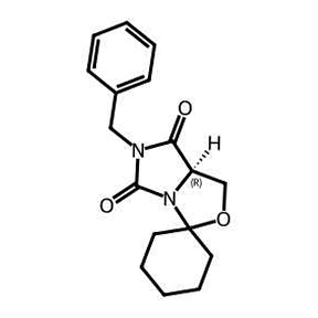 O=C1[C@H]2COC3(CCCCC3)N2C(=O)N1Cc1ccccc1